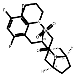 C[C@H](Cc1cc(F)c(F)cc1F)[C@@H]1C[C@H]2CC[C@@H](C1)N2C(=O)CS(=O)(=O)N1CCCCC1